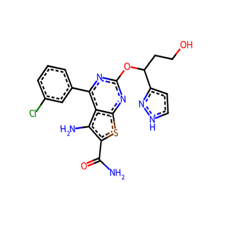 NC(=O)c1sc2nc(OC(CCO)c3cc[nH]n3)nc(-c3cccc(Cl)c3)c2c1N